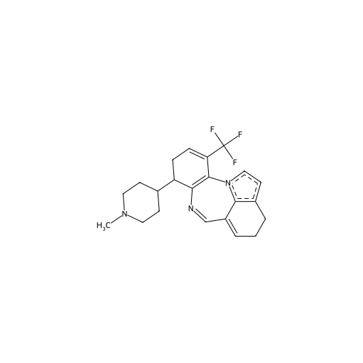 CN1CCC(C2CC=C(C(F)(F)F)C3=C2N=CC2=CCCc4ccn3c42)CC1